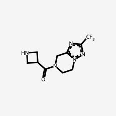 O=C(C1CNC1)N1CCn2nc(C(F)(F)F)nc2C1